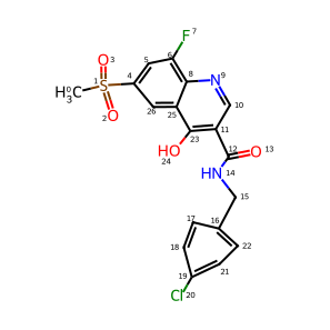 CS(=O)(=O)c1cc(F)c2ncc(C(=O)NCc3ccc(Cl)cc3)c(O)c2c1